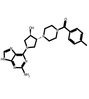 Cc1ccc(C(=O)N2CCN([C@@H]3CN(c4nc(N)nc5[nH]cnc45)C[C@H]3O)CC2)cc1